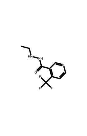 CCNNC(=O)c1cnccc1C(F)(F)F